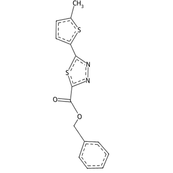 Cc1ccc(-c2nnc(C(=O)OCc3ccccc3)s2)s1